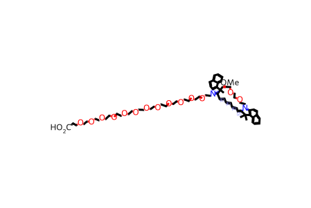 COCCOCCOCCN1\C(=C/C=C/C=C/C=C/C2=[N+](CCOCCOCCOCCOCCOCCOCCOCCOCCOCCOCCOCCOCCC(=O)O)c3ccc4ccccc4c3C2(C)C)C(C)(C)c2c1ccc1ccccc21